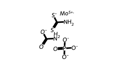 NC(=O)[O-].NC(=S)[S-].O=P([O-])([O-])[O-].[Mo+5]